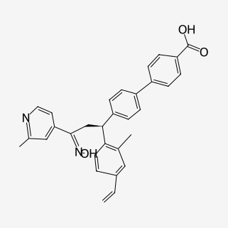 C=Cc1ccc([C@@H](C/C(=N\O)c2ccnc(C)c2)c2ccc(-c3ccc(C(=O)O)cc3)cc2)c(C)c1